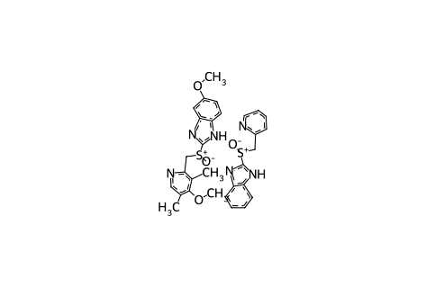 COc1ccc2[nH]c([S+]([O-])Cc3ncc(C)c(OC)c3C)nc2c1.[O-][S+](Cc1ccccn1)c1nc2ccccc2[nH]1